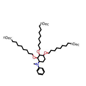 CCCCCCCCCCCCCCCCCCOC1CCC(N(C)c2ccccc2)C(OCCCCCCCCCCCCCCCCCC)C1OCCCCCCCCCCCCCCCCCC